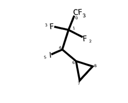 FC(F)(F)C(F)(F)C(I)C1CC1